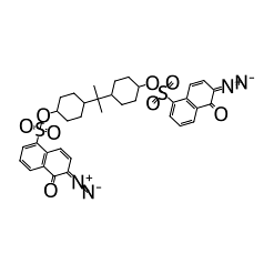 CC(C)(C1CCC(OS(=O)(=O)c2cccc3c2C=CC(=[N+]=[N-])C3=O)CC1)C1CCC(OS(=O)(=O)c2cccc3c2C=CC(=[N+]=[N-])C3=O)CC1